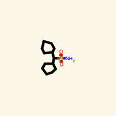 NS(=O)(=O)C(C1CCCCC1)C1CCCCC1